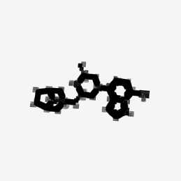 C[C@@H]1CN(c2ccc(C#N)n3nccc23)C[C@H](CN2CC3CCC(C2)N3)O1